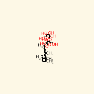 CC1=C(/C=C/C(C)=C/CCC(C)OC2O[C@H](CO)[C@@H](O[C@@H]3O[C@H](CO)[C@@H](O)[C@H](O)[C@H]3O)[C@H](O)[C@H]2O)C(C)(C)CCC1